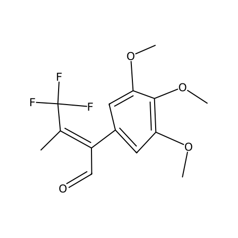 COc1cc(C(C=O)=C(C)C(F)(F)F)cc(OC)c1OC